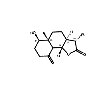 C=C1CC[C@@H](O)[C@]2(C)CC[C@H]3[C@H](CC)C(=O)O[C@@H]3C12